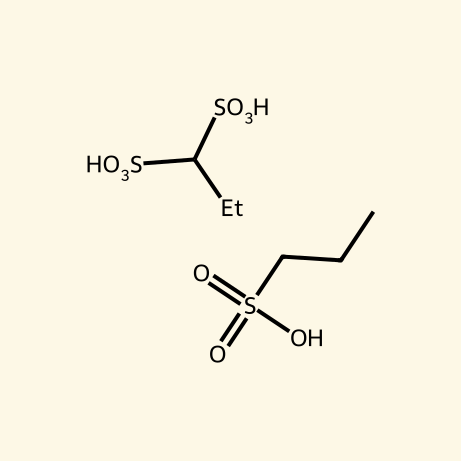 CCC(S(=O)(=O)O)S(=O)(=O)O.CCCS(=O)(=O)O